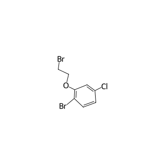 Clc1ccc(Br)c(OCCBr)c1